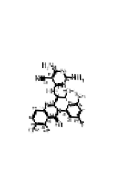 CCC(Nc1nc(N)nc(N)c1C#N)c1nc2ccc(Cl)c(F)c2c(=O)n1-c1cc(F)cc(F)c1